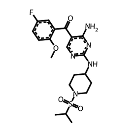 COc1ccc(F)cc1C(=O)c1cnc(NC2CCN(S(=O)(=O)C(C)C)CC2)nc1N